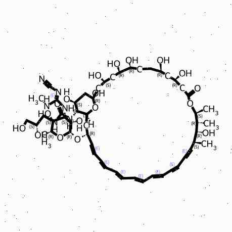 CN/C(=N\C#N)N[C@@H]1[C@H](O)[C@H](O[C@H]2/C=C/C=C/C=C/C=C/C=C/C=C/C=C/[C@H](C)[C@@H](O)[C@@H](C)[C@H](C)OC(=O)C[C@H](O)C[C@H](O)CC[C@@H](O)[C@H](O)C[C@H](O)C[C@]3(O)C[C@H](O)[C@@H](NC(=O)NC[C@H](O)CO)[C@H](C2)O3)O[C@H](C)[C@H]1O